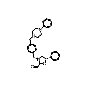 O=CC1O[C@H](c2ccccc2)CN1Cc1ccc(CN2CCN(c3ccccc3)CC2)cc1